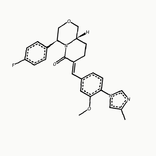 COc1cc(/C=C2\CC[C@H]3COC[C@H](c4ccc(F)cc4)N3C2=O)ccc1-n1cnc(C)c1